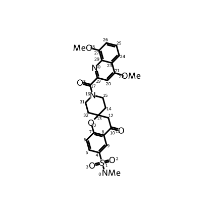 CNS(=O)(=O)c1ccc2c(c1)C(=O)CC1(CCN(C(=O)c3cc(OC)c4cccc(OC)c4n3)CC1)O2